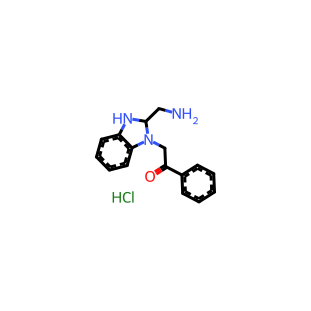 Cl.NCC1Nc2ccccc2N1CC(=O)c1ccccc1